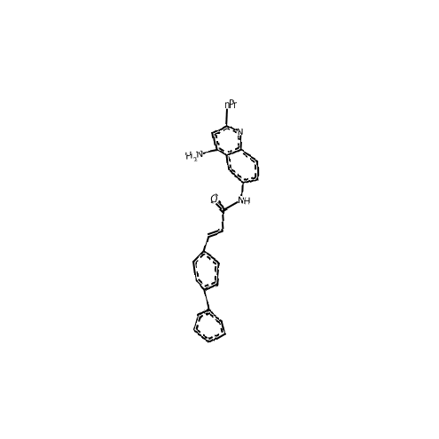 CCCc1cc(N)c2cc(NC(=O)C=Cc3ccc(-c4ccccc4)cc3)ccc2n1